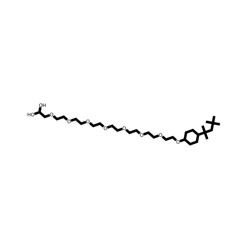 CC(C)(C)CC(C)(C)C1CCC(OCCOCCOCCOCCOCCOCCOCCOCC(O)O)CC1